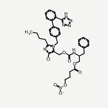 CCCCc1nc(Cl)c(COC(=O)NC(COC(=O)CCCO[N+](=O)[O-])Cc2ccccc2)n1Cc1ccc(-c2ccccc2-c2nnn[nH]2)cc1